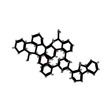 CCC1Oc2c(-c3cccc4c3C(c3ccccc3)C(C)C3=C4C=CCC3)cccc2-c2c(-c3nc(-c4ccccc4)nc(-c4cccc5c4oc4ccccc45)n3)cccc21